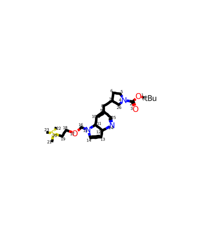 CC(C)(C)OC(=O)N1CCC(CC2=CC3C(C=CN3COCCS(C)(C)C)N=C2)C1